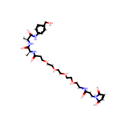 C[C@H](NC(=O)CCOCCOCCOCCOCCNC(=O)CCN1C(=O)C=CC1=O)C(=O)N[C@@H](C)C(=O)Nc1ccc(CO)cc1